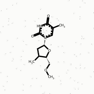 COC[C@H]1O[C@@H](n2cc(C)c(=O)[nH]c2=O)CC1C